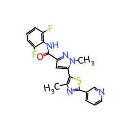 Cc1nc(-c2cccnc2)sc1-c1cc(C(=O)Nc2c(F)cccc2F)nn1C